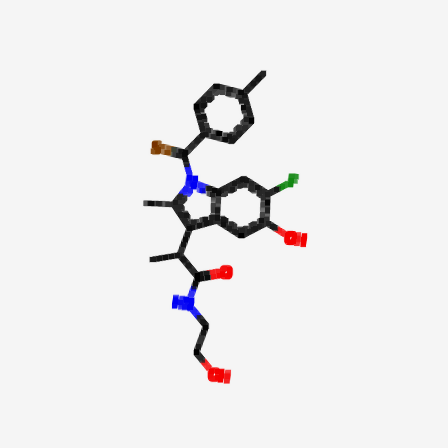 Cc1ccc(C(=S)n2c(C)c(C(C)C(=O)NCCO)c3cc(O)c(F)cc32)cc1